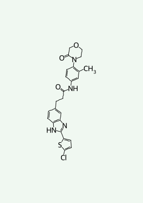 Cc1cc(NC(=O)CCc2ccc3[nH]c(-c4ccc(Cl)s4)nc3c2)ccc1N1CCOCC1=O